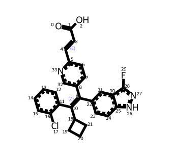 O=C(O)/C=C/c1ccc(/C(=C(\c2ccccc2Cl)C2CCC2)c2ccc3[nH]nc(F)c3c2)cn1